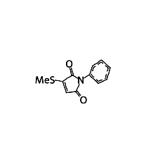 CSC1=CC(=O)N(c2ccccc2)C1=O